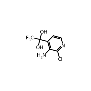 Nc1c(C(O)(O)C(F)(F)F)ccnc1Cl